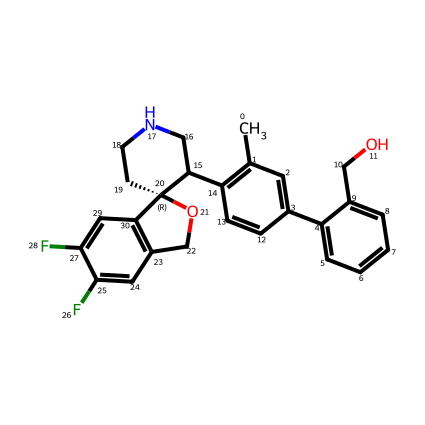 Cc1cc(-c2ccccc2CO)ccc1C1CNCC[C@@]12OCc1cc(F)c(F)cc12